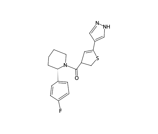 O=C(C1C=C(c2cn[nH]c2)SC1)N1CCCC[C@H]1c1ccc(F)cc1